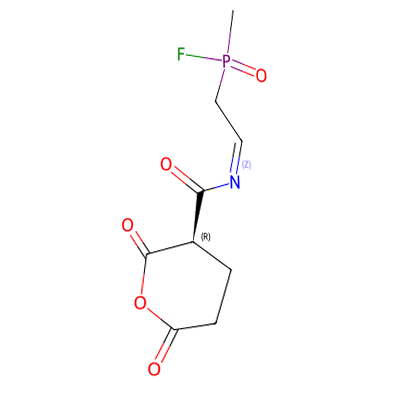 CP(=O)(F)C/C=N\C(=O)[C@H]1CCC(=O)OC1=O